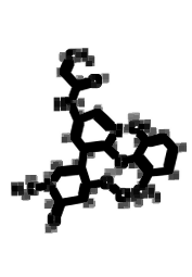 C=CC(=O)Nc1cnc(Oc2c(C)cccc2C)c(-c2cn(C)c(=O)cc2OC)c1